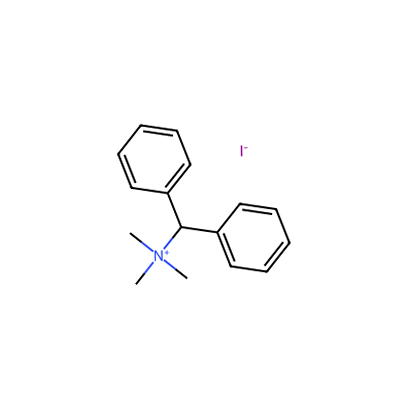 C[N+](C)(C)C(c1ccccc1)c1ccccc1.[I-]